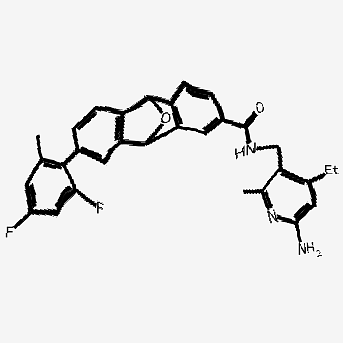 CCc1cc(N)nc(C)c1CNC(=O)c1ccc2c(c1)C1OC2c2ccc(-c3c(C)cc(F)cc3F)cc21